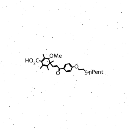 CCCCCSCCOc1ccc(C(=O)C=CC2(C)C(C)=C(C)C(C(=O)O)=C(C)C2OC)cc1